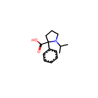 CC(C)N1CCCC1(C(=O)O)c1ccccc1